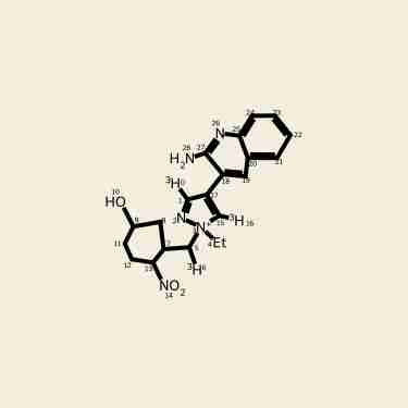 [3H]C1=N[N+](CC)(C([3H])C2CC(O)CCC2[N+](=O)[O-])C([3H])=C1c1cc2ccccc2nc1N